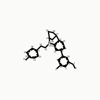 CCc1cc(C)cc(-c2ccc3c(c2)N(CCc2ccc(C)cc2)C2CCC3C2)c1